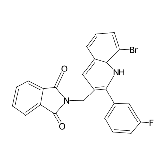 O=C1c2ccccc2C(=O)N1CC1=C(c2cccc(F)c2)NC2C(Br)=CC=CC2=C1